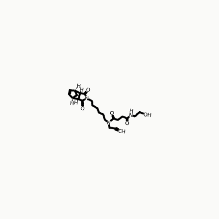 C#CCN(CCCCCCN1C(=O)[C@@H]2[C@H](C1=O)[C@H]1C=C[C@@H]2C1)C(=O)CCC(=O)NCCO